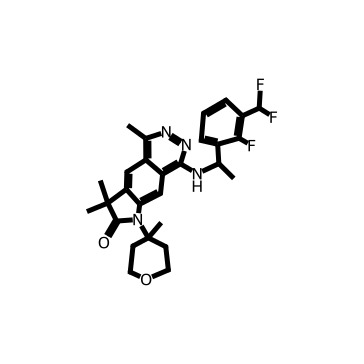 Cc1nnc(NC(C)c2cccc(C(F)F)c2F)c2cc3c(cc12)C(C)(C)C(=O)N3C1(C)CCOCC1